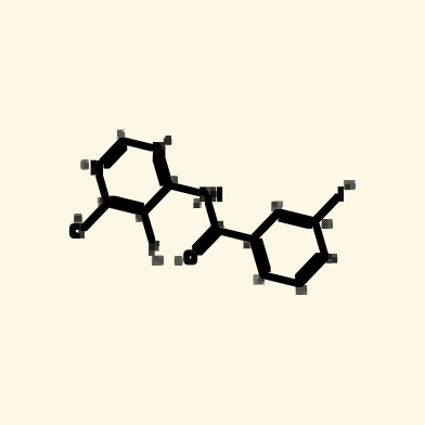 O=C(Nc1ncnc(Cl)c1F)c1cccc(I)c1